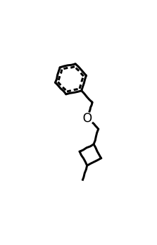 CC1CC(COCc2ccccc2)C1